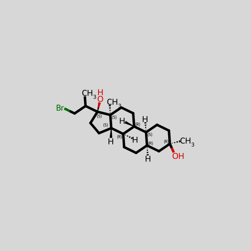 CC(CBr)[C@@]1(O)CC[C@H]2[C@@H]3CC[C@@H]4C[C@](C)(O)CC[C@@H]4[C@H]3CC[C@@]21C